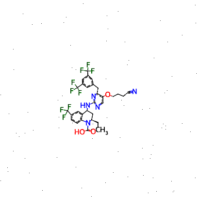 CC[C@@H]1C[C@H](Nc2ncc(OCCCC#N)c(Cc3cc(C(F)(F)F)cc(C(F)(F)F)c3)n2)c2cc(C(F)(F)F)ccc2N1C(=O)O